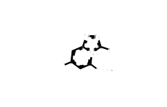 CCc1nnc2cc(C)cc(SC)n12